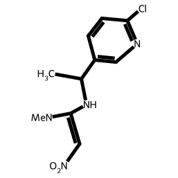 CN/C(=C\[N+](=O)[O-])NC(C)c1ccc(Cl)nc1